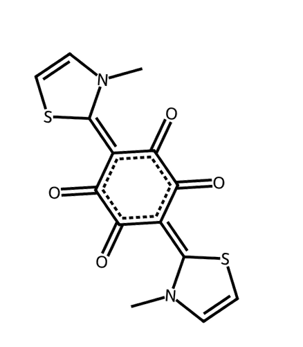 CN1C=CSC1=c1c(=O)c(=O)c(=C2SC=CN2C)c(=O)c1=O